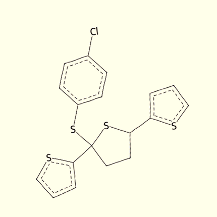 Clc1ccc(SC2(c3cccs3)CCC(c3cccs3)S2)cc1